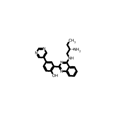 CC[C@H](N)CNc1nc(-c2cc(-c3cncnc3)ccc2O)nc2ccccc12